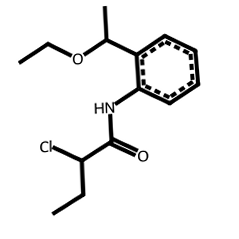 CCOC(C)c1ccccc1NC(=O)C(Cl)CC